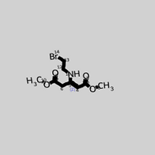 COC(=O)/C=C(/CC(=O)OC)NCCBr